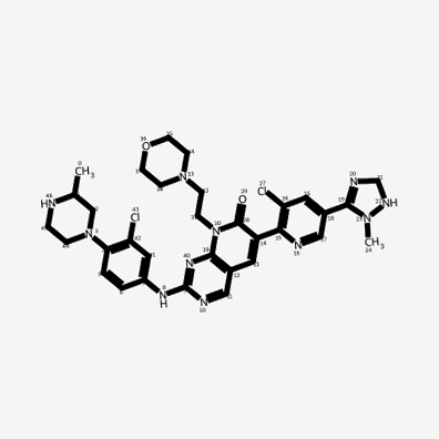 CC1CN(c2ccc(Nc3ncc4cc(-c5ncc(C6=NCNN6C)cc5Cl)c(=O)n(CCN5CCOCC5)c4n3)cc2Cl)CCN1